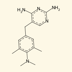 Cc1cc(Cc2cnc(N)nc2N)cc(C)c1N(C)C